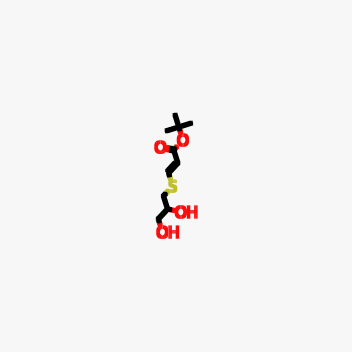 CC(C)(C)OC(=O)/C=C/SCC(O)CO